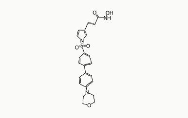 O=C(C=Cc1ccn(S(=O)(=O)c2ccc(-c3ccc(N4CCOCC4)cc3)cc2)c1)NO